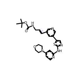 CC(C)(C)OC(=O)NC/C=C/c1cncc(-c2cnc(Nc3cc(N4CCOCC4)ccn3)s2)c1